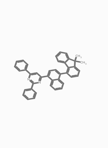 CC1(C)c2ccccc2-c2c(-c3ccc(-c4cc(-c5ccccc5)nc(-c5ccccc5)n4)c4ccccc34)cccc21